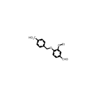 CCOc1cc(C=O)ccc1OCc1ccc(C(=O)O)cc1